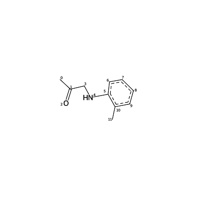 CC(=O)CNc1ccccc1C